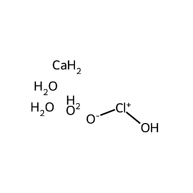 O.O.O.[CaH2].[O-][Cl+]O